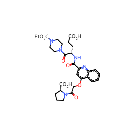 CCOC(=O)N1CCN(C(=O)[C@H](CCC(=O)O)NC(=O)c2cc(OCC(=O)N3CCC[C@H]3C(=O)O)c3ccccc3n2)CC1